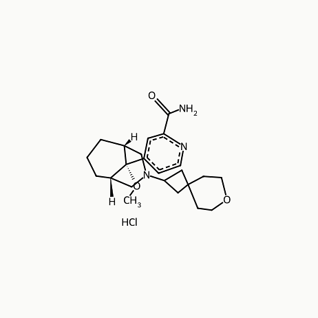 CO[C@@]1(c2ccnc(C(N)=O)c2)[C@@H]2CCC[C@H]1CN(C1CC3(CCOCC3)C1)C2.Cl